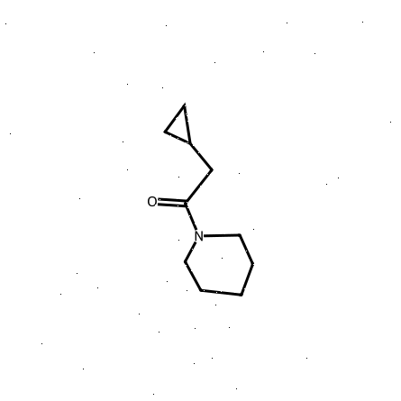 O=C(CC1CC1)N1CCCCC1